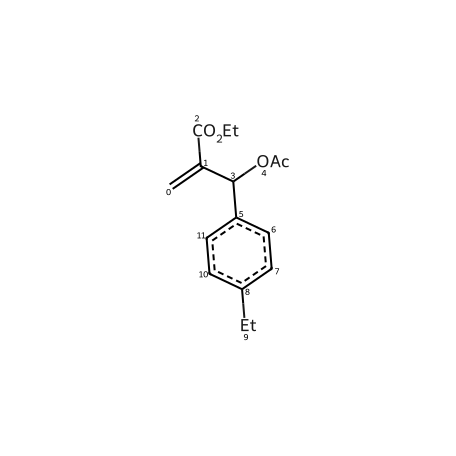 C=C(C(=O)OCC)C(OC(C)=O)c1ccc(CC)cc1